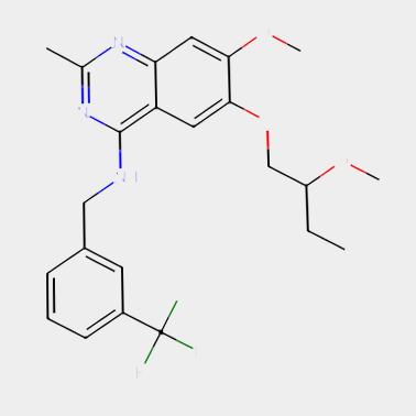 CCC(COc1cc2c(NCc3cccc(C(F)(F)F)c3)nc(C)nc2cc1OC)OC